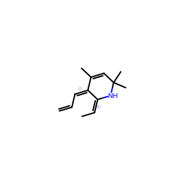 C=C/C=C1/C(C)=CC(C)(C)N/C1=C/C